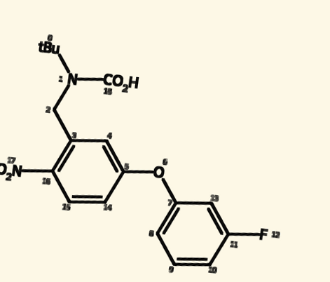 CC(C)(C)N(Cc1cc(Oc2cccc(F)c2)ccc1[N+](=O)[O-])C(=O)O